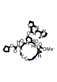 COC(=O)[C@@]12C[C@H]1/C=C\CCCCC[C@H](NC(=O)OC1CCCC1)C(=O)N1C[C@H](Oc3nc(-c4nccn4C)nc4ccsc34)C[C@H]1C(=O)N2